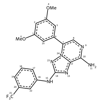 COc1cc(OC)cc(-c2cnc(N)c3nc(Nc4cccc(C(F)(F)F)c4)nn23)c1